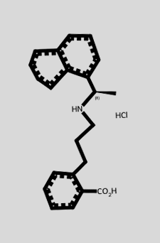 C[C@@H](NCCCc1ccccc1C(=O)O)c1cccc2ccccc12.Cl